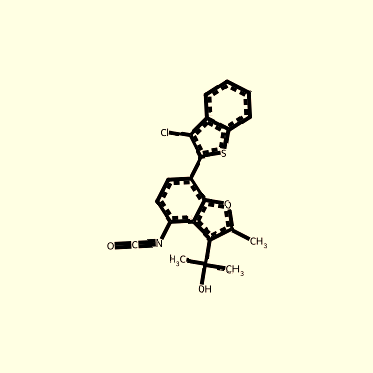 Cc1oc2c(-c3sc4ccccc4c3Cl)ccc(N=C=O)c2c1C(C)(C)O